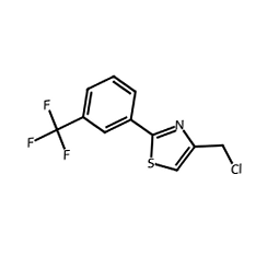 FC(F)(F)c1cccc(-c2nc(CCl)cs2)c1